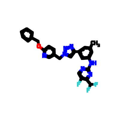 Cc1cc(Nc2ncc(F)c(C(F)F)n2)cc(-c2cn(Cc3ccc(OCc4ccccc4)nc3)nn2)c1